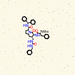 CNC(Cc1ccccc1)C(=O)NC1C(=O)N2C(CCC2C(=O)NC(c2ccccc2)c2ccccc2)C[C@@H]1CNC(=O)NCc1ccccc1